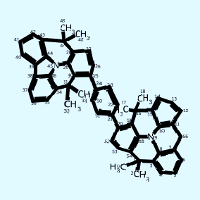 CC1(C)c2cccc3c2N2c4c(cccc4C(C)(C)c4c(-c5ccc(-c6ccc7c8c6C(C)(C)c6cccc9c%10cccc(c%10n-8c69)C7(C)C)cc5)ccc1c42)C3